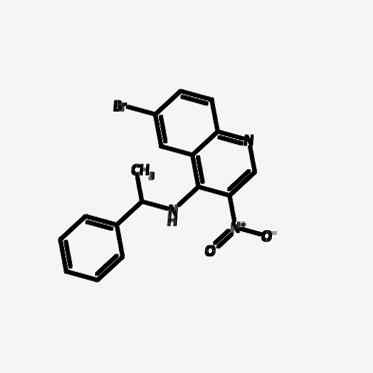 CC(Nc1c([N+](=O)[O-])cnc2ccc(Br)cc12)c1ccccc1